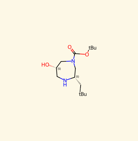 CC(C)(C)C[C@H]1CN(C(=O)OC(C)(C)C)C[C@@H](O)CN1